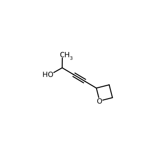 CC(O)C#CC1CCO1